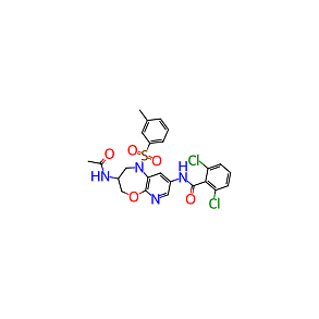 CC(=O)NC1COc2ncc(NC(=O)c3c(Cl)cccc3Cl)cc2N(S(=O)(=O)c2cccc(C)c2)C1